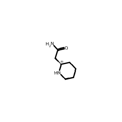 NC(=O)C[C@H]1CCCCN1